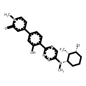 CC[C@@H]1CCC[C@H](N(C)c2cnc(-c3ccc(-c4ccn(C)c(=O)c4)cc3O)nn2)[C@@H]1C(F)(F)F